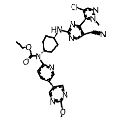 CCOC(=O)N(c1ccc(-c2cnc(OC)nc2)cn1)[C@H]1CC[C@H](Nc2ncc(C#N)c(-c3c(Cl)cnn3C)n2)CC1